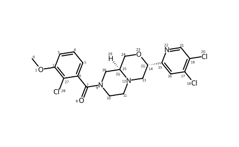 COc1cccc(C(=O)N2CCN3C[C@@H](c4cc(Cl)c(Cl)cn4)OC[C@@H]3C2)c1Cl